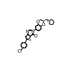 O=c1c2sc(-c3ccc(Cl)cc3)cc2ncn1-c1ccc2c(c1)OC[C@@H](CN1CCCC1)O2